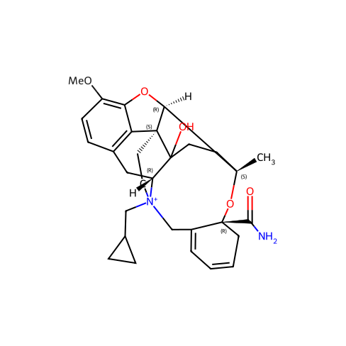 COc1ccc2c3c1O[C@@H]1[C@]34CC[N+]3(CC5CC5)CC5=CC=CC[C@@]5(C(N)=O)O[C@@]1(C)CCC4(O)[C@H]3C2